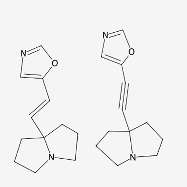 C(#CC12CCCN1CCC2)c1cnco1.C(=CC12CCCN1CCC2)c1cnco1